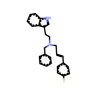 Fc1ccc(C=CCN(CCc2c[nH]c3ccccc23)Cc2ccccc2)cc1